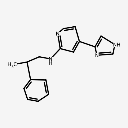 CC(CNc1cc(-c2c[nH]cn2)ccn1)c1ccccc1